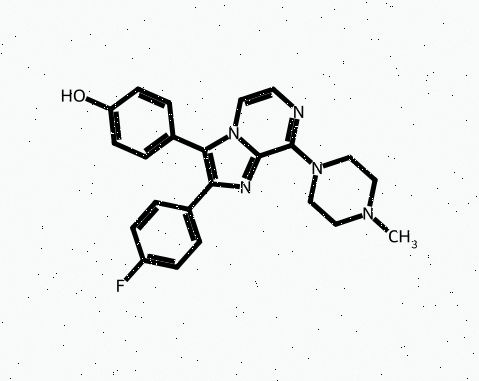 CN1CCN(c2nccn3c(-c4ccc(O)cc4)c(-c4ccc(F)cc4)nc23)CC1